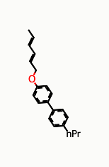 CC=CC=CCOc1ccc(-c2ccc(CCC)cc2)cc1